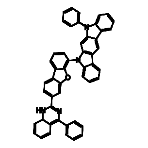 C1=CC2=C(c3ccccc3)N=C(c3ccc4c(c3)oc3c(-n5c6ccccc6c6cc7c8ccccc8n(-c8ccccc8)c7cc65)cccc34)NC2C=C1